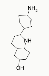 NC1C=CC(C2CCC3CC(O)CCC3N2)CC1